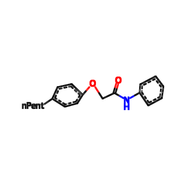 CCCCCc1ccc(OCC(=O)Nc2ccccc2)cc1